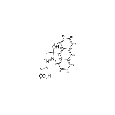 CC(O)(/N=N/CCC(=O)O)c1c2ccccc2cc2ccccc12